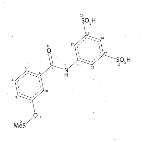 CSOc1cccc(C(=O)Nc2cc(S(=O)(=O)O)cc(S(=O)(=O)O)c2)c1